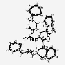 O=C(NC(Cc1c[nH]c2ccccc12)C(=O)N1C[C@H](CNCc2ccccc2)Cc2ccccc21)N1CCN(c2ccccc2)CC1